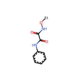 CCONC(=O)C(=O)Nc1ccccc1